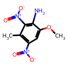 COc1cc([N+](=O)[O-])c(C)c([N+](=O)[O-])c1N